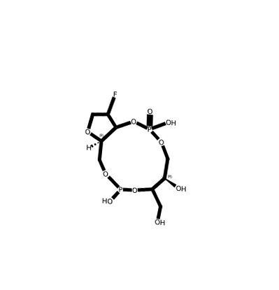 O=P1(O)OC[C@@H](O)C(CO)OP(O)OC[C@H]2OCC(F)C2O1